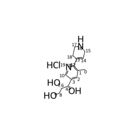 Cc1cc([C@H](O)[C@@H](O)CO)cnc1C1=CCNCC1.Cl